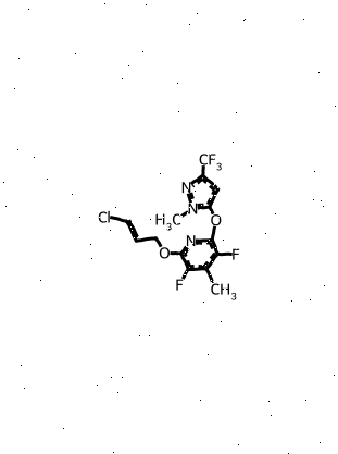 Cc1c(F)c(OC/C=C/Cl)nc(Oc2cc(C(F)(F)F)nn2C)c1F